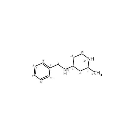 CC1CC(NCc2ccccc2)CCN1